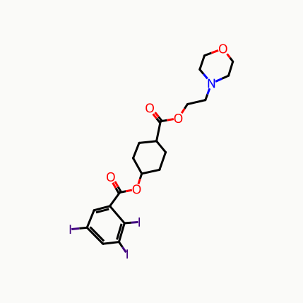 O=C(OC1CCC(C(=O)OCCN2CCOCC2)CC1)c1cc(I)cc(I)c1I